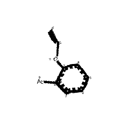 C=COc1ccccc1C(C)=O